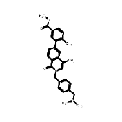 COC(=O)c1ccc(C)c(-c2ccc3c(=O)n(Cc4ccc(CN(C)C)cc4)cc(C)c3c2)c1